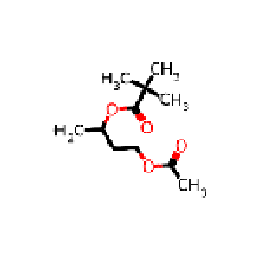 [CH2]C(CCOC(C)=O)OC(=O)C(C)(C)C